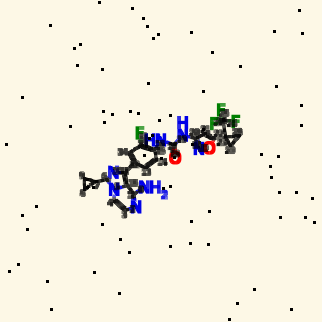 Nc1nccn2c(C3CC3)nc(-c3ccc(NC(=O)Nc4cc(C5(C(F)(F)F)CC5)on4)c(F)c3)c12